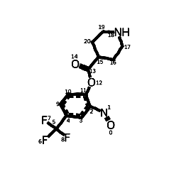 O=Nc1cc(C(F)(F)F)ccc1OC(=O)C1CCNCC1